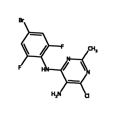 Cc1nc(Cl)c(N)c(Nc2c(F)cc(Br)cc2F)n1